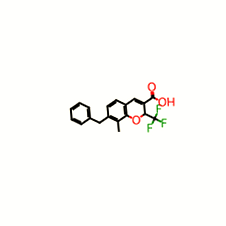 Cc1c(Cc2ccccc2)ccc2c1OC(C(F)(F)F)C(C(=O)O)=C2